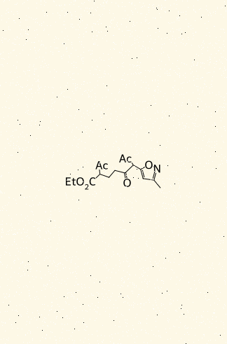 CCOC(=O)C(CCC(=O)C(C(C)=O)c1cc(C)no1)C(C)=O